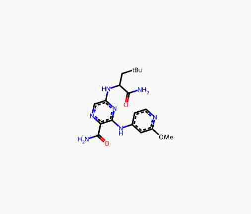 COc1cc(Nc2nc(NC(CC(C)(C)C)C(N)=O)cnc2C(N)=O)ccn1